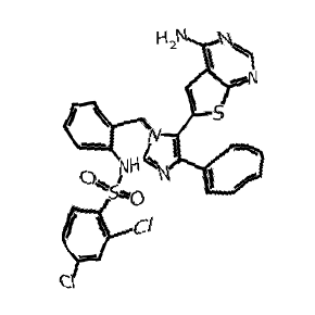 Nc1ncnc2sc(-c3c(-c4ccccc4)ncn3Cc3ccccc3NS(=O)(=O)c3ccc(Cl)cc3Cl)cc12